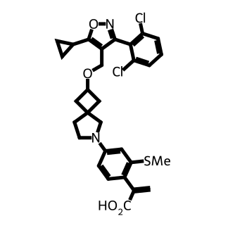 C=C(C(=O)O)c1ccc(N2CCC3(CC(OCc4c(-c5c(Cl)cccc5Cl)noc4C4CC4)C3)C2)cc1SC